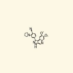 COc1cc2ncc3[nH]nc(-c4ccc(C#N)c(N5CCCC5)c4)c3c2cc1OC